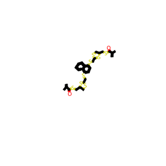 C=C(C)C(=O)SCC1CSC(CSc2ccc(SCC3SCC(CSC(=O)C(=C)C)S3)c3ccccc23)S1